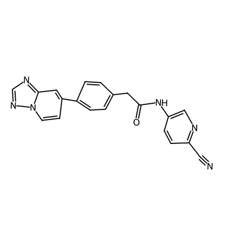 N#Cc1ccc(NC(=O)Cc2ccc(-c3ccn4ncnc4c3)cc2)cn1